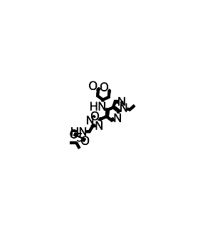 CCn1ncc2c(NC3CCOC(=O)C3)c(-c3nc(CNS(=O)(=O)C(C)C)no3)cnc21